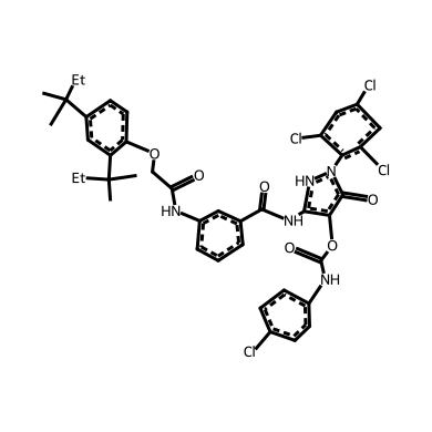 CCC(C)(C)c1ccc(OCC(=O)Nc2cccc(C(=O)Nc3[nH]n(-c4c(Cl)cc(Cl)cc4Cl)c(=O)c3OC(=O)Nc3ccc(Cl)cc3)c2)c(C(C)(C)CC)c1